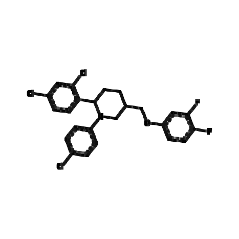 Fc1ccc(OCC2CCC(c3ccc(Cl)cc3Cl)N(c3ccc(Cl)cc3)C2)cc1F